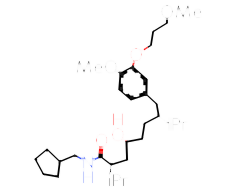 COCCCOc1cc(C[C@@H](CC[C@@H](O)C[C@H](C(=O)NCC2CCCC2)C(C)C)C(C)C)ccc1OC